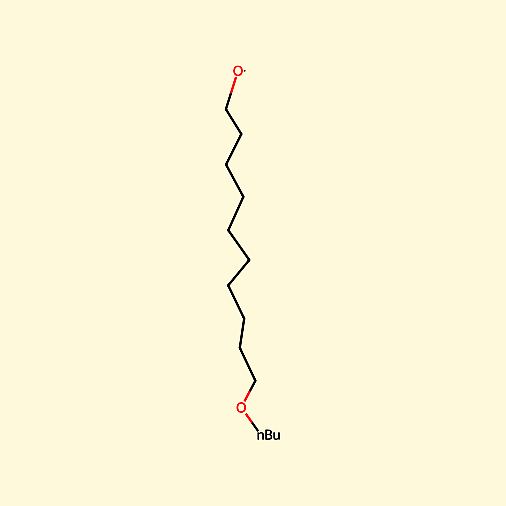 CCCCOCCCCCCCCCC[O]